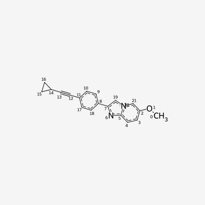 COc1ccc2nc(-c3ccc(C#CC4CC4)cc3)cn2c1